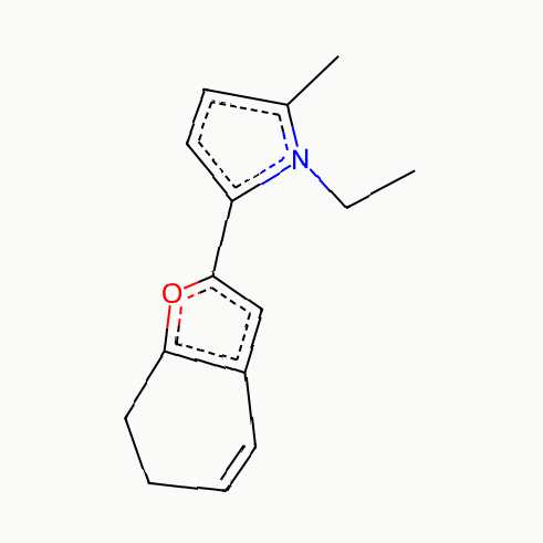 CCn1c(C)ccc1-c1cc2c(o1)CCC=C2